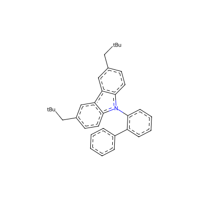 CC(C)(C)Cc1ccc2c(c1)c1cc(CC(C)(C)C)ccc1n2-c1ccccc1-c1ccccc1